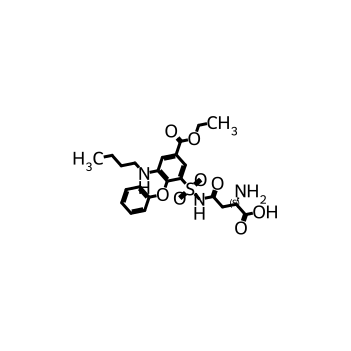 CCCCNc1cc(C(=O)OCC)cc(S(=O)(=O)NC(=O)C[C@H](N)C(=O)O)c1Oc1ccccc1